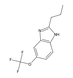 CCCc1nc2cc(OC(F)(F)F)ccc2[nH]1